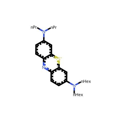 CCCCCCN(CCCCCC)c1ccc2nc3ccc(N(CCC)CCC)cc3[s+]c2c1